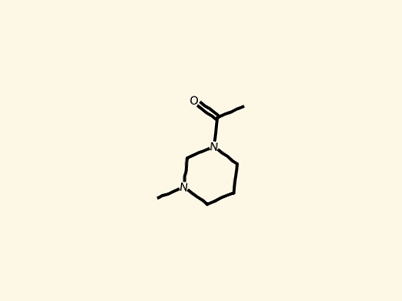 CC(=O)N1CCCN(C)C1